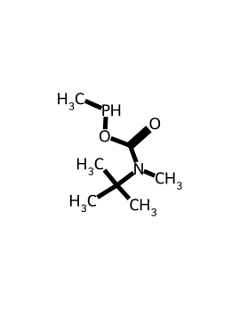 CPOC(=O)N(C)C(C)(C)C